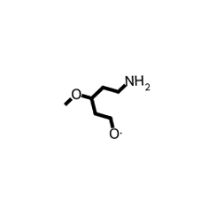 COC(CCN)CC[O]